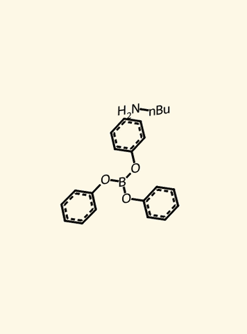 CCCCN.c1ccc(OB(Oc2ccccc2)Oc2ccccc2)cc1